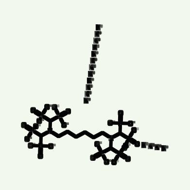 O=P([O-])([O-])C(N(CCCCCCN(C(P(=O)([O-])[O-])P(=O)([O-])[O-])C(P(=O)([O-])[O-])P(=O)([O-])[O-])C(P(=O)([O-])[O-])P(=O)([O-])[O-])P(=O)([O-])[O-].[K+].[K+].[K+].[K+].[K+].[K+].[K+].[K+].[K+].[K+].[K+].[K+].[K+].[K+].[K+].[K+]